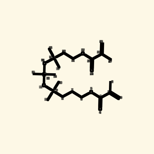 C=C(C)C(=O)OCCC[Si](C)(C)O[Si](C)(C)O[Si](C)(C)CCOC(=O)C(=C)C